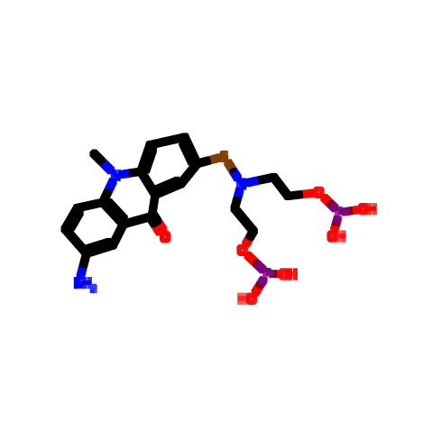 Cn1c2ccc(N)cc2c(=O)c2cc(SN(CCOP(O)O)CCOP(O)O)ccc21